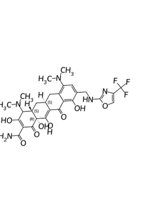 CN(C)c1cc(CNc2nc(C(F)(F)F)co2)c(O)c2c1C[C@@H]1C[C@H]3C(N(C)C)C(O)=C(C(N)=O)C(=O)[C@]3(O)C(O)=C1C2=O